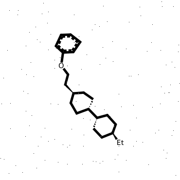 CC[C@H]1CC[C@H]([C@H]2CC[C@H](CCOc3ccccc3)CC2)CC1